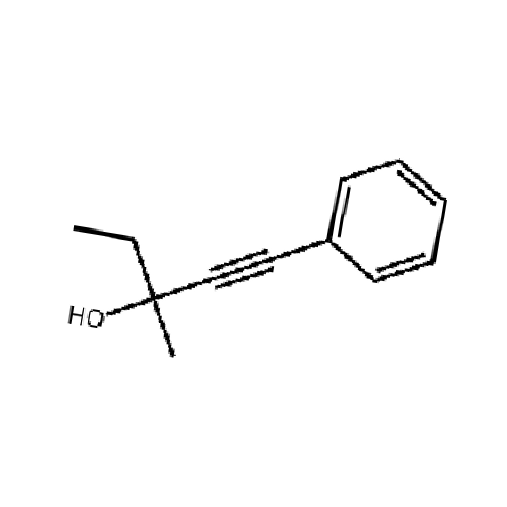 CCC(C)(O)C#Cc1ccccc1